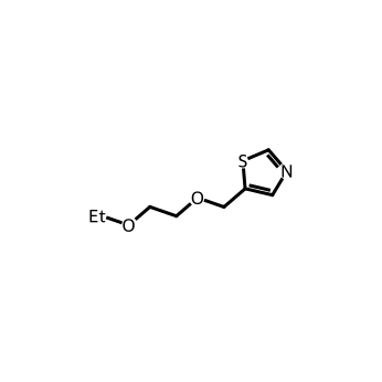 CCOCCOCc1cncs1